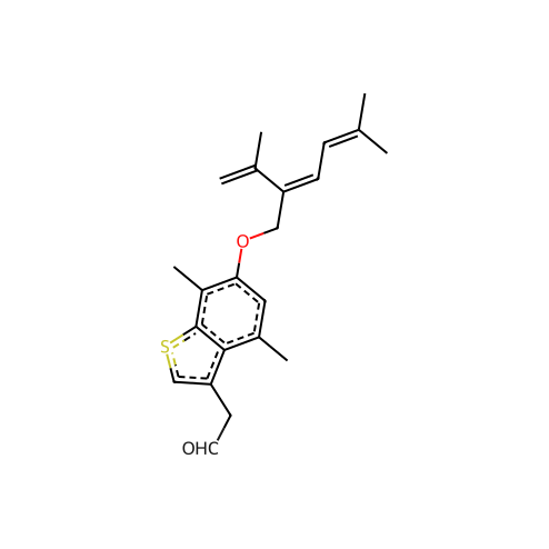 C=C(C)/C(=C\C=C(C)C)COc1cc(C)c2c(CC=O)csc2c1C